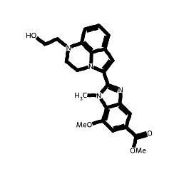 COC(=O)c1cc(OC)c2c(c1)nc(-c1cc3cccc4c3n1CCN4CCO)n2C